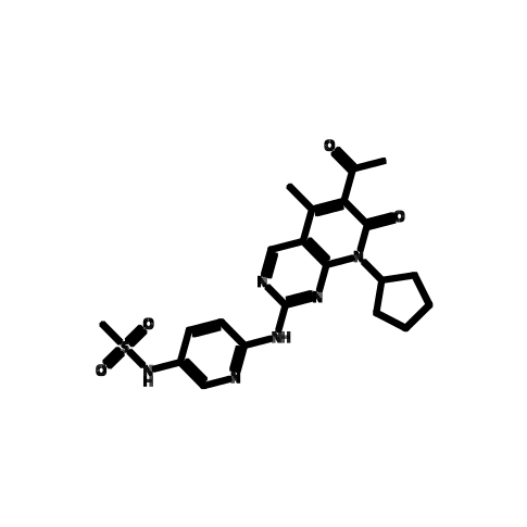 CC(=O)c1c(C)c2cnc(Nc3ccc(NS(C)(=O)=O)cn3)nc2n(C2CCCC2)c1=O